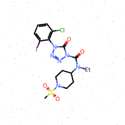 CCN(C(=O)n1nnn(-c2c(Cl)cccc2I)c1=O)C1CCN(S(C)(=O)=O)CC1